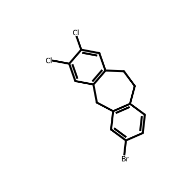 Clc1cc2c(cc1Cl)Cc1cc(Br)ccc1CC2